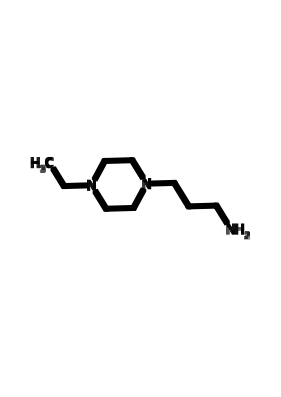 CCN1CCN(CCCN)CC1